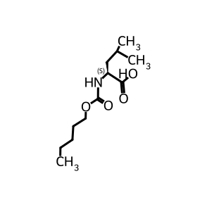 CCCCCOC(=O)N[C@@H](CC(C)C)C(=O)O